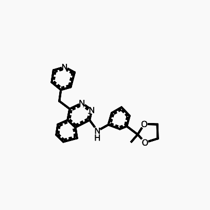 CC1(c2cccc(Nc3nnc(Cc4ccncc4)c4ccccc34)c2)OCCO1